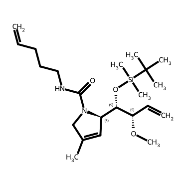 C=CCCCNC(=O)N1CC(C)=C[C@@H]1[C@H](O[Si](C)(C)C(C)(C)C)[C@H](C=C)OC